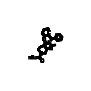 CCCCC(=O)N1CCc2c(nc(C)n(C(c3ccccc3)c3ccccc3)c2=O)C1